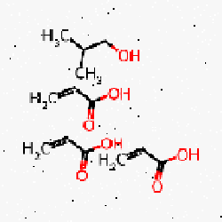 C=CC(=O)O.C=CC(=O)O.C=CC(=O)O.CC(C)CO